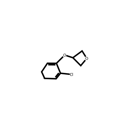 ClC1=C[CH]CC=C1OC1COC1